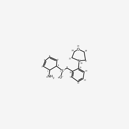 NC1C=CC=CC1[S+]([O-])Cc1ccccc1N1CCOCC1